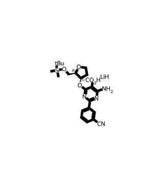 CC(C)(C)[Si](C)(C)OC[C@H]1OCC[C@@H]1Oc1nc(-c2cccc(C#N)c2)nc(N)c1C(=O)O.[LiH]